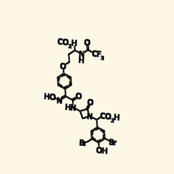 O=C(NC1CN(C(C(=O)O)c2cc(Br)c(O)c(Br)c2)C1=O)C(=NO)c1ccc(OCCC(NC(=O)C(F)(F)F)C(=O)O)cc1